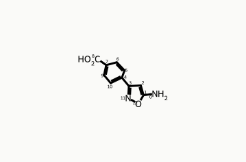 Nc1cc(-c2ccc(C(=O)O)cc2)no1